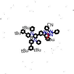 CC(C)(C)c1cc(-c2ccc3c(c2)N(c2ccccc2)c2cc(-c4ccc5c(c4)c4cc(C(C)(C)C)ccc4n5-c4ccc(C#N)cc4-c4nc(-c5ccccc5)nc(-c5ccccc5)n4)cc4c2B3c2ccc(-c3cc(C(C)(C)C)cc(C(C)(C)C)c3)cc2N4c2ccccc2)cc(C(C)(C)C)c1